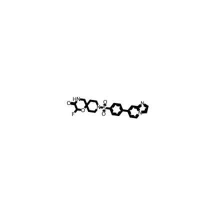 O=C1NCC2(CCN(S(=O)(=O)c3ccc(-c4ccn5ccnc5c4)cc3)CC2)OC1F